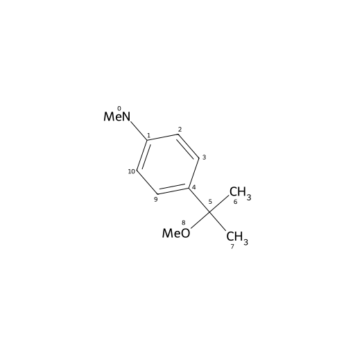 CNc1ccc(C(C)(C)OC)cc1